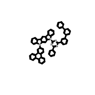 c1ccc(-c2cccc(-c3cccc(-c4nc(-c5ccccc5)nc(-n5c6ccccc6c6cc7c8ccccc8n(-c8ccc9c%10ccccc%10c%10ccccc%10c9c8)c7cc65)n4)c3)c2)cc1